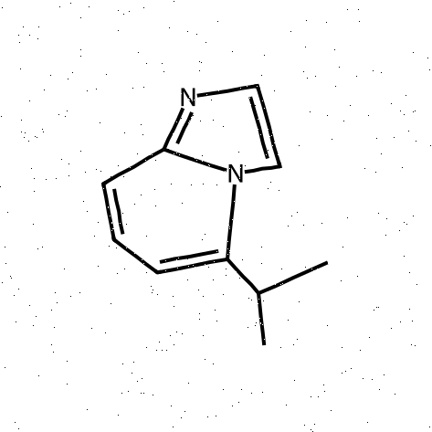 CC(C)c1cccc2nccn12